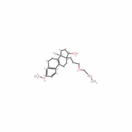 COCCOCCCC12CCC3=C(CCc4cc(OC)ccc43)[C@@H]1CCC2O